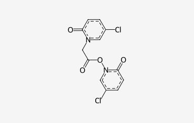 O=C(Cn1cc(Cl)ccc1=O)On1cc(Cl)ccc1=O